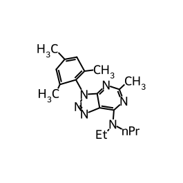 CCCN(CC)c1nc(C)nc2c1nnn2-c1c(C)cc(C)cc1C